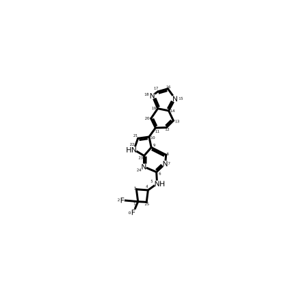 FC1(F)CC(Nc2ncc3c(-c4ccc5nccnc5c4)c[nH]c3n2)C1